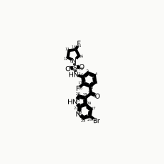 O=C(c1cccc(NS(=O)(=O)N2CCC(F)C2)c1F)c1c[nH]c2ncc(Br)cc12